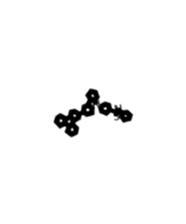 c1ccc2sc(-c3ccc(-n4c5ccccc5c5cc(-c6ccc7c8ccccc8c8ccccc8c7c6)ccc54)cc3)nc2c1